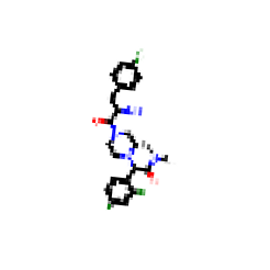 CCN(CC)C(=O)C(c1ccc(F)cc1F)N1CCN(C(=O)C(N)Cc2ccc(Cl)cc2)CC1